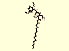 CCCCCCCCCCCCCCC(O)C(O)C(CO)NC(=O)Cc1cc(OC)ccc1OC